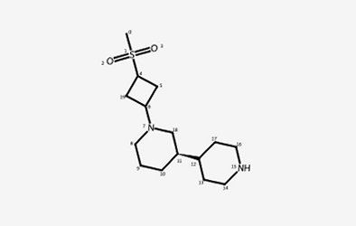 CS(=O)(=O)C1CC(N2CCC[C@H](C3CCNCC3)C2)C1